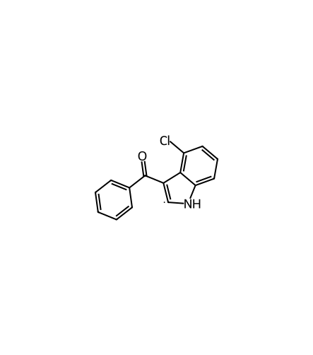 O=C(c1ccccc1)c1[c][nH]c2cccc(Cl)c12